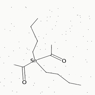 CCC[CH2][Sn]([CH2]CCC)([C](C)=O)[C](C)=O